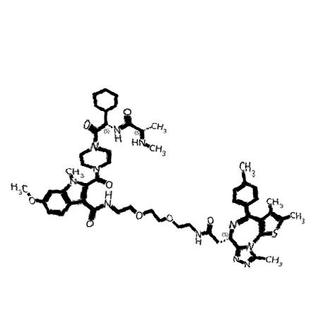 CN[C@@H](C)C(=O)N[C@H](C(=O)N1CCN(C(=O)c2c(C(=O)NCCOCCOCCNC(=O)C[C@@H]3N=C(c4ccc(C)cc4)c4c(sc(C)c4C)-n4c(C)nnc43)c3ccc(OC)cc3n2C)CC1)C1CCCCC1